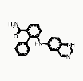 NC(=O)c1cccc(Nc2ccc3c(c2)C=NCN3)c1-c1ccccc1